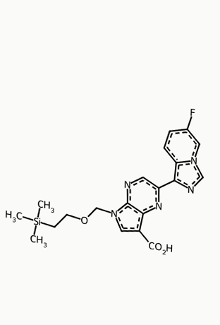 C[Si](C)(C)CCOCn1cc(C(=O)O)c2nc(-c3ncn4cc(F)ccc34)cnc21